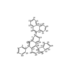 c1ccc(-c2nc3cc(-c4cc5ccccc5c5ccccc45)ccc3c3c2ccc2sc4ccccc4c23)cc1